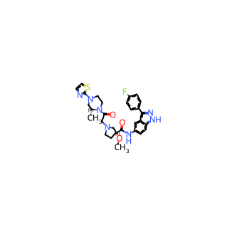 CO[C@@]1(C(=O)Nc2ccc3[nH]nc(-c4ccc(F)cc4)c3c2)CCN(CC(=O)N2CCN(c3nccs3)C[C@H]2C)C1